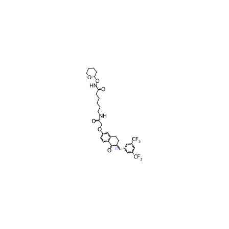 O=C(COc1ccc2c(c1)CC/C(=C\c1cc(C(F)(F)F)cc(C(F)(F)F)c1)C2=O)NCCCCCC(=O)NOC1CCCCO1